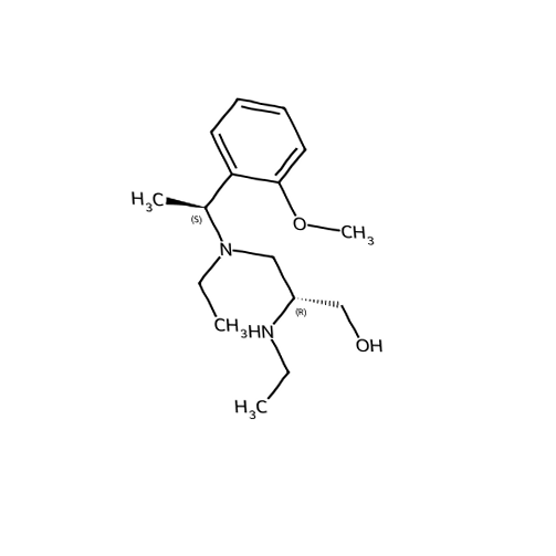 CCN[C@@H](CO)CN(CC)[C@@H](C)c1ccccc1OC